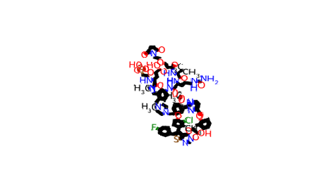 COc1ccccc1-c1nccc(COc2ccccc2C[C@@H](Oc2ncnc3sc(-c4ccc(F)cc4)c(-c4ccc(OCCN5CC[N+](C)(Cc6ccc(NC(=O)C(CCCNC(N)=O)NC(=O)C(NC(=O)CCOCCN7C(=O)C=CC7=O)C(C)C)cc6CN(C)C(=O)C(CCC(=O)O)NC(=O)CS(=O)(=O)O)CC5)c(Cl)c4C)c23)C(=O)O)n1